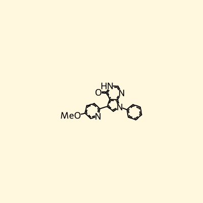 COc1ccc(-c2cn(-c3ccccc3)c3nc[nH]c(=O)c23)nc1